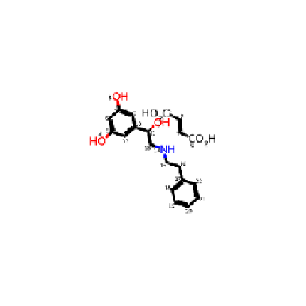 O=C(O)C=CC(=O)O.Oc1cc(O)cc([C@@H](O)CNCCc2ccccc2)c1